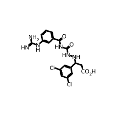 N=C(N)Nc1cccc(C(=O)NC(=O)NNC(CC(=O)O)c2cc(Cl)cc(Cl)c2)c1